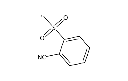 [CH]S(=O)(=O)c1ccccc1C#N